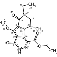 CCOC(=O)c1n[nH]c(=O)c2c(OC)c3n(c12)[C@@H](C)CN(CC)C3=O